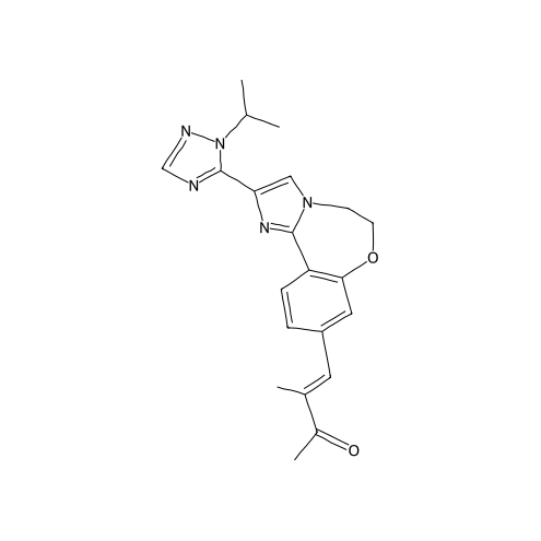 CC(=O)/C(C)=C/c1ccc2c(c1)OCCn1cc(-c3ncnn3C(C)C)nc1-2